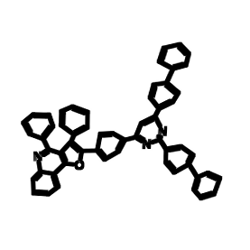 c1ccc(-c2ccc(-c3cc(-c4ccc(-c5oc6c(c(-c7ccccc7)nc7ccccc76)c5-c5ccccc5)cc4)nc(-c4ccc(-c5ccccc5)cc4)n3)cc2)cc1